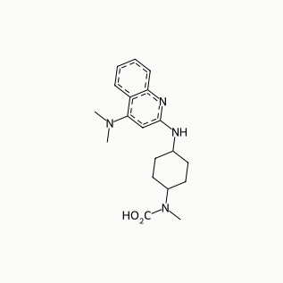 CN(C)c1cc(NC2CCC(N(C)C(=O)O)CC2)nc2ccccc12